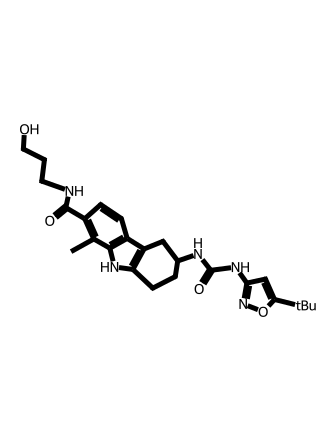 Cc1c(C(=O)NCCCO)ccc2c3c([nH]c12)CCC(NC(=O)Nc1cc(C(C)(C)C)on1)C3